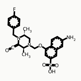 C[C@@H]1CN(COc2cc(S(=O)(=O)O)cc3cc(N)ccc23)[C@@H](C)C(=C=O)N1Cc1ccc(F)cc1